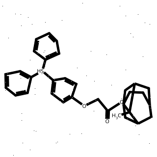 CC1(OC(=O)COc2ccc([SH](c3ccccc3)c3ccccc3)cc2)C2CC3CCC(C2)CC1C3